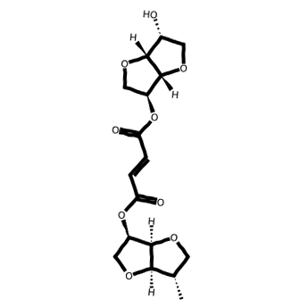 C[C@H]1CO[C@H]2[C@@H]1OC[C@H]2OC(=O)C=CC(=O)O[C@H]1CO[C@H]2[C@@H]1OC[C@H]2O